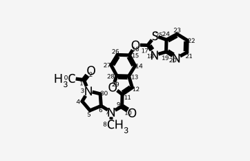 CC(=O)N1CCC(N(C)C(=O)c2cc3cc(Oc4nc5ncccc5s4)ccc3o2)C1